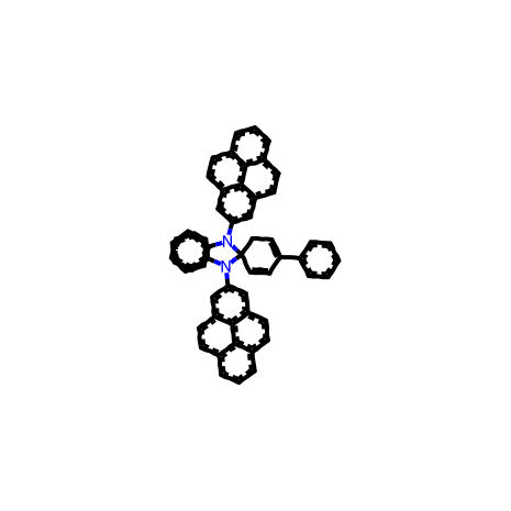 C1=CC(N(c2ccccc2)c2cc3ccc4cccc5ccc(c2)c3c45)(N(c2ccccc2)c2cc3ccc4cccc5ccc(c2)c3c45)CC=C1c1ccccc1